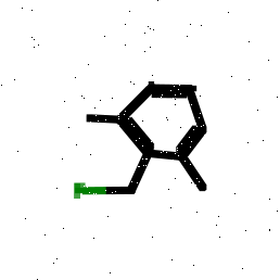 Cc1[c][c]cc(C)c1CF